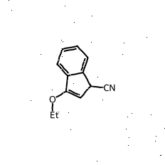 CCOC1=CC(C#N)c2ccccc21